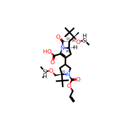 C=CCOC(=O)N1CC(C2=C(C(=O)O)N3C(=O)[C@H]([C@@](C)(O[SiH](C)C)C(C)(C)C)[C@H]3C2)C[C@@]1(CO[SiH](C)C)C(C)(C)C